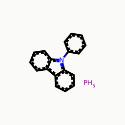 P.c1ccc(-n2c3ccccc3c3ccccc32)cc1